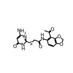 CC(=O)c1c(NC(=O)CSc2nc(N)cc(=O)[nH]2)ccc2c1OCO2